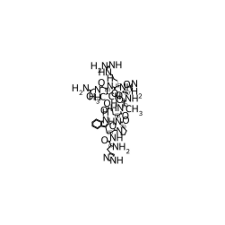 CC(C)[C@H](NC(=O)[C@H](CCCNC(=N)N)NC(=O)[C@H](CC(N)=O)NC(=O)[C@H](C)NC(=O)[C@H](CCC(=O)O)NC(=O)[C@@H]1CCCN1C(=O)[C@H](Cc1c[nH]c2ccccc12)NC(=O)[C@@H](N)Cc1c[nH]cn1)C(=O)NCC(N)=O